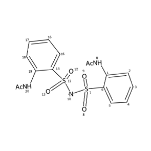 CC(=O)Nc1ccccc1S(=O)(=O)[N]S(=O)(=O)c1ccccc1NC(C)=O